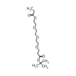 CCC(=O)OCCOCCOCCOCCC(=O)OC(C)(C)C